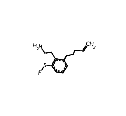 C=CCCCc1cccc(SF)c1CCN